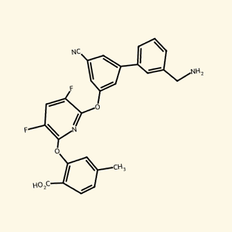 Cc1ccc(C(=O)O)c(Oc2nc(Oc3cc(C#N)cc(-c4cccc(CN)c4)c3)c(F)cc2F)c1